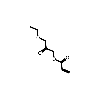 C=CC(=O)OCC(=O)COCC